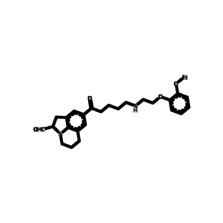 CCOc1ccccc1OCCNCCCCC(=O)c1cc2c3c(c1)CC(C=O)N3CCC2